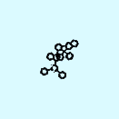 c1ccc(-c2cc(-c3ccc(-c4cccc5c4C(c4ccccc4)(c4ccccc4)c4cc6ccccc6cc4-5)c4ccccc34)nc(-c3ccccc3)n2)cc1